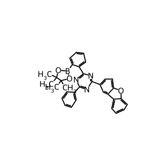 CC1(C)OB(c2ccccc2-c2nc(-c3ccccc3)nc(-c3ccc4oc5ccccc5c4c3)n2)OC1(C)C